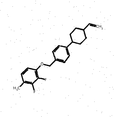 C=CC1CCC(c2ccc(COc3ccc(C)c(F)c3F)cc2)CC1